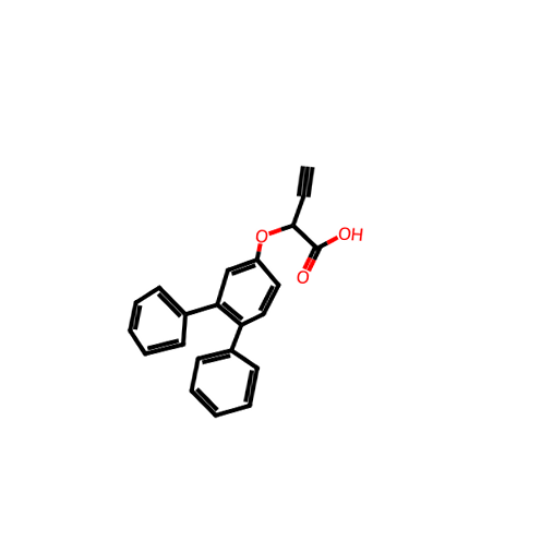 C#CC(Oc1ccc(-c2ccccc2)c(-c2ccccc2)c1)C(=O)O